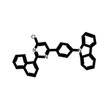 Clc1cc(-c2ccc(-n3c4ccccc4c4ccccc43)cc2)nc(-c2cccc3ccccc23)n1